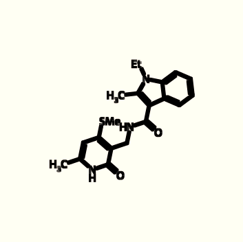 CCn1c(C)c(C(=O)NCc2c(SC)cc(C)[nH]c2=O)c2ccccc21